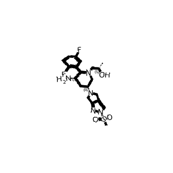 C[C@H](O)CN1C[C@H](N2Cc3cn(S(C)(=O)=O)nc3C2)C[C@H](N)C1c1cc(F)ccc1F